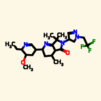 CCC1N=CC(C2CC(C)C3C(=O)N(C4C=NN(CC(F)(F)F)C4)C(C)(C)C3=N2)CC1OC